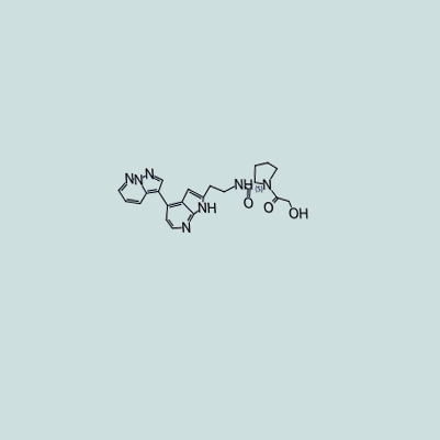 O=C(NCCc1cc2c(-c3cnn4ncccc34)ccnc2[nH]1)[C@@H]1CCCN1C(=O)CO